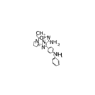 C=CC(=O)N1CCC[C@H]1c1nc(-c2ccc(Nc3ccccc3)cc2)c2c(N)nccn12